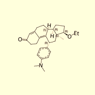 CCO[C@@H]1CC[C@@H]2[C@@H]3CCC4=CC(=O)CCC4=C3[C@@H](c3ccc(N(C)C)cc3)C[C@@]21C